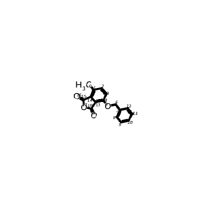 Cc1ccc(OCc2ccccc2)c2c1C(=O)OC2=O